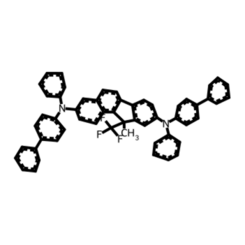 CC1(C(F)(F)F)c2cc(N(c3ccccc3)c3ccc(-c4ccccc4)cc3)ccc2-c2ccc3cc(N(c4ccccc4)c4ccc(-c5ccccc5)cc4)ccc3c21